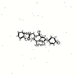 CCCCCC1CN(CC(=O)Nc2ccccc2C(=O)O)C(=O)c2cc(-c3ccc(Cl)cc3)nn21